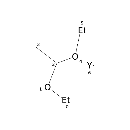 CCOC(C)OCC.[Y]